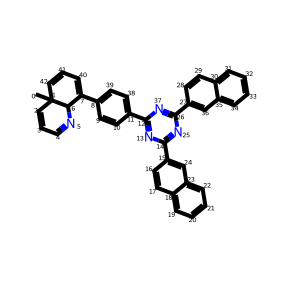 CC12C=CC=NC1C(c1ccc(-c3nc(-c4ccc5ccccc5c4)nc(-c4ccc5ccccc5c4)n3)cc1)=CC=C2